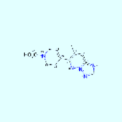 Cc1cc2ncnn2nc1C1=CCN(C(=O)O)CC1